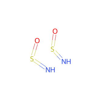 N=S=O.N=S=O